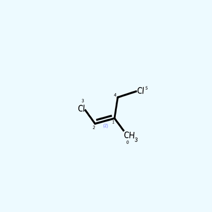 C/C(=C/Cl)CCl